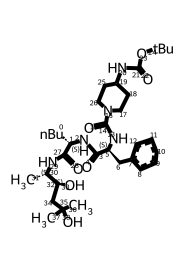 CCCC[C@H](NC(=O)[C@H](Cc1ccccc1)NC(=O)N1CCC(NC(=O)OC(C)(C)C)CC1)C(=O)N[C@@H](C)[C@@H](O)CC(C)(C)O